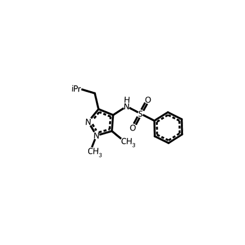 Cc1c(NS(=O)(=O)c2ccccc2)c(CC(C)C)nn1C